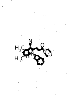 Cc1cc(C)c2c(C#N)c(C=CC(=O)N3CCOCC3)n(C3Cc4ccccc4C3)c2n1